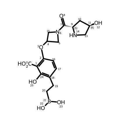 O=C(O)c1c(OC2CN(C(=O)[C@@H]3C[C@@H](O)CN3)C2)ccc(CCB(O)O)c1O